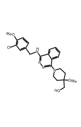 COc1ccc(CNc2nnc(N3CCC(CO)(OC)CC3)c3ccccc23)cc1Cl